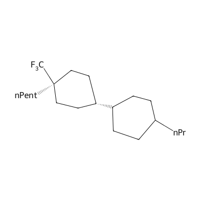 CCCCC[C@]1(C(F)(F)F)CC[C@H](C2CCC(CCC)CC2)CC1